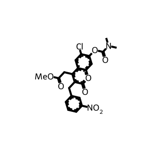 COC(=O)Cc1c(Cc2cccc([N+](=O)[O-])c2)c(=O)oc2cc(OC(=O)N(C)C)c(Cl)cc12